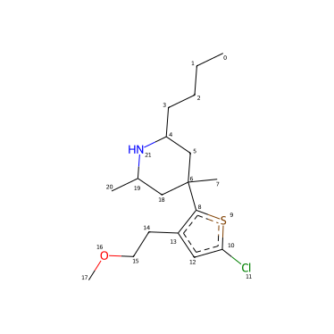 CCCCC1CC(C)(c2sc(Cl)cc2CCOC)CC(C)N1